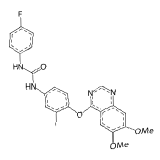 COc1cc2ncnc(Oc3ccc(NC(=O)Nc4ccc(F)cc4)cc3C)c2cc1OC